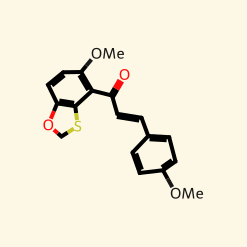 COc1ccc(/C=C/C(=O)c2c(OC)ccc3c2SCO3)cc1